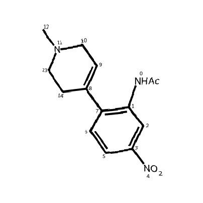 CC(=O)Nc1cc([N+](=O)[O-])ccc1C1=CCN(C)CC1